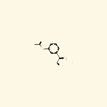 CC(=O)Nc1cccc(C(C=O)=NO)c1